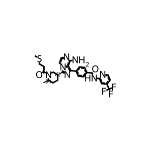 CSCCC(=O)N1C[C@@H](c2nc(-c3ccc(C(=O)Nc4cc(C(F)(F)F)ccn4)cc3)c3c(N)nccn23)CC[C@H]1C